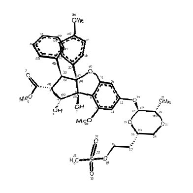 COC(=O)[C@H]1[C@@H](O)[C@@]2(O)c3c(OC)cc(O[C@@H]4O[C@@H](CCOS(C)(=O)=O)CO[C@H]4OC)cc3O[C@@]2(c2ccc(OC)cc2)[C@@H]1c1ccccc1